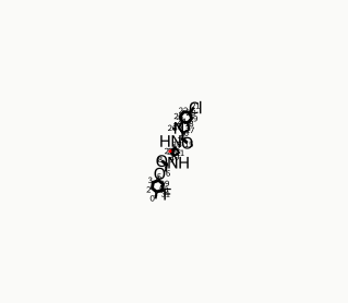 Cc1ccc(OCC(=O)NC23CC(NC(=O)C4Cc5cc(Cl)ccc5N4C)(C2)C3)cc1F